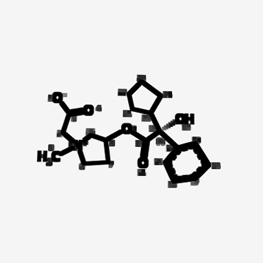 C[N+]1(CC(=O)[O-])CCC(OC(=O)[C@](O)(c2ccccc2)C2CCCC2)C1